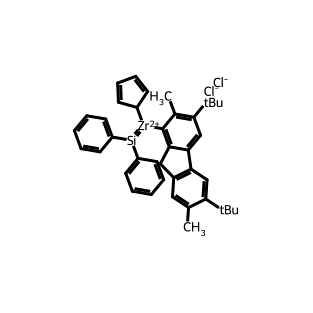 Cc1cc2c(cc1C(C)(C)C)-c1cc(C(C)(C)C)c(C)[c]([Zr+2]([CH]3C=CC=C3)=[Si](c3ccccc3)c3ccccc3)c1C2.[Cl-].[Cl-]